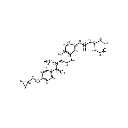 CN(C(=O)c1ccc(OCC2CC2)cc1)C1CCc2cc(CNCC3CCOCC3)ccc2C1